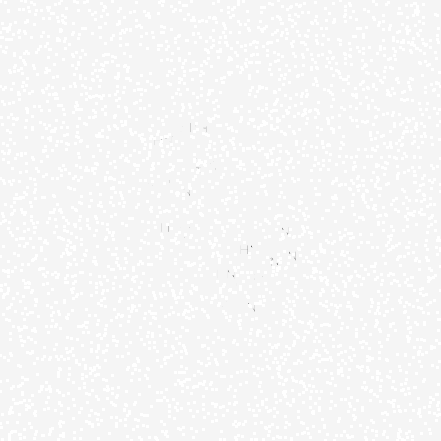 CCCCCNC1C(=O)N2C(C(=O)O)=C(C(CCNS(N)(=O)=O)Sc3nnn[nH]3)CS[C@@H]12